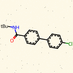 CC(C)(C)NC(=O)c1ccc(-c2ccc(Cl)cc2)cc1